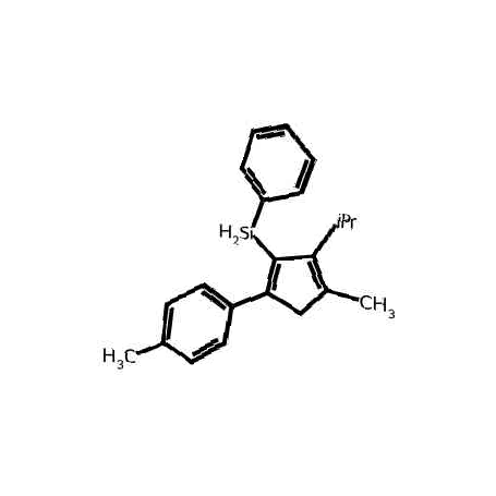 CC1=C(C(C)C)C([SiH2]c2ccccc2)=C(c2ccc(C)cc2)C1